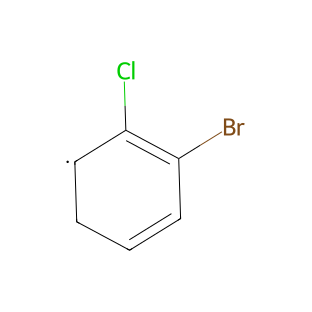 ClC1=C(Br)C=CC[CH]1